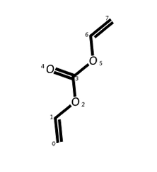 C=COC(=O)OC=C